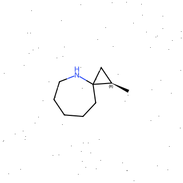 C[C@@H]1CC12CCCCCN2